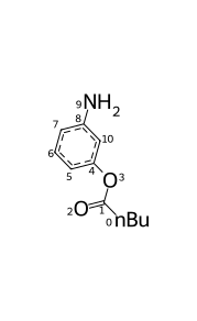 CCCCC(=O)Oc1cccc(N)c1